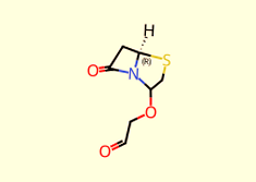 O=CCOC1CS[C@@H]2CC(=O)N12